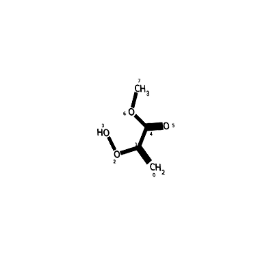 C=C(OO)C(=O)OC